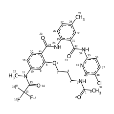 CC(=O)NCCCOc1cc(N(C)C(=O)C(F)(F)F)ccc1C(=O)Nc1ccc(C)cc1C(=O)Nc1ccc(Cl)cn1